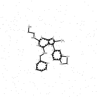 Cc1sc2nc(NCCO)nc(NCc3ccccn3)c2c1-c1ccc2c(c1)OCO2